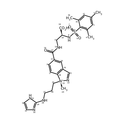 Cc1cc(C)c(S(=O)(=O)N[C@@H](CNC(=O)c2ccc3c(c2)C=N[N@+]3(C)CCCNc2ncc[nH]2)C(=O)O)c(C)c1